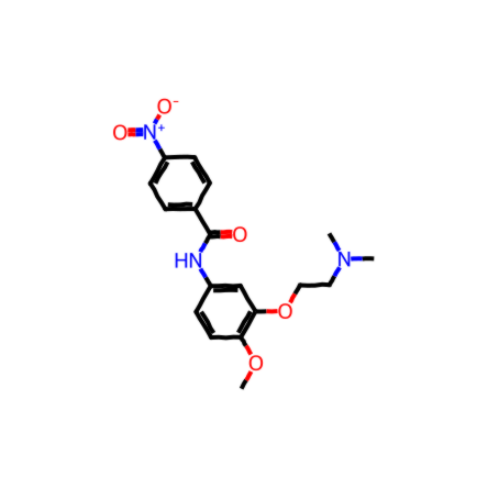 COc1ccc(NC(=O)c2ccc([N+](=O)[O-])cc2)cc1OCCN(C)C